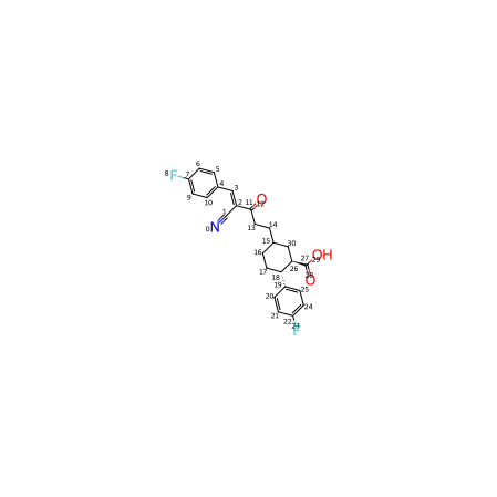 N#C/C(=C\c1ccc(F)cc1)C(=O)CCC1CC[C@@H](c2ccc(F)cc2)[C@H](C(=O)O)C1